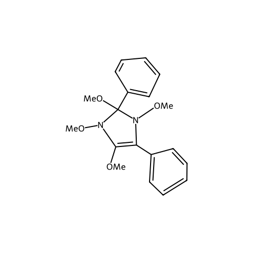 COC1=C(c2ccccc2)N(OC)C(OC)(c2ccccc2)N1OC